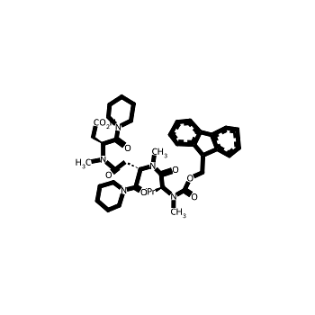 CC(C)[C@@H](C(=O)N(C)[C@@H](CC(=O)N(C)[C@@H](CC(=O)O)C(=O)N1CCCCC1)C(=O)N1CCCCC1)N(C)C(=O)OCC1c2ccccc2-c2ccccc21